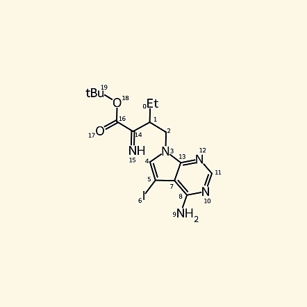 CCC(Cn1cc(I)c2c(N)ncnc21)C(=N)C(=O)OC(C)(C)C